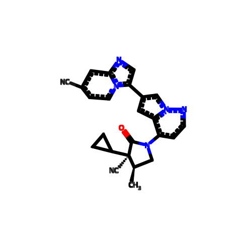 C[C@@H]1CN(c2ccnn3cc(-c4cnc5cc(C#N)ccn45)cc23)C(=O)[C@]1(C#N)C1CC1